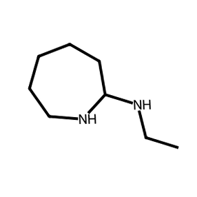 CCNC1CCCCCN1